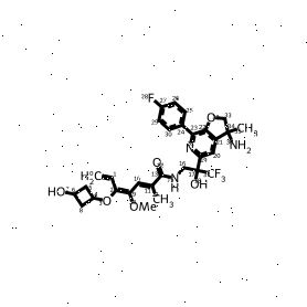 C=C/C(OC1CC(O)C1)=C(\C=C(/C)C(=O)NCC(O)(c1cc2c(c(-c3ccc(F)cc3)n1)OCC2(C)N)C(F)(F)F)OC